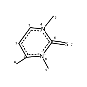 Cc1ccn(C)c(=S)[n+]1C